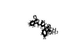 C[C@]1(O)C(=O)N(c2cncc(C=C3OC(=O)c4ccccc43)c2)c2ccccc21